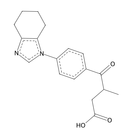 CC(CC(=O)O)C(=O)c1ccc(-n2cnc3c2CCCC3)cc1